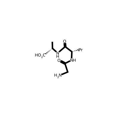 CC(C)[C@H](NC(=O)CN)C(=O)N[C@@H](C)C(=O)O